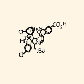 CNc1cc(C(=O)O)ccc1NC(=O)[C@@H]1N[C@@H](CC(C)(C)C)[C@@]2(C(=O)Nc3cc(Cl)ccc32)[C@H]1c1cccc(Cl)c1F